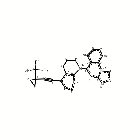 FC(F)(F)C1(C#Cc2cccc3c2CCCN3c2nc3nncn3c3ccccc23)CC1